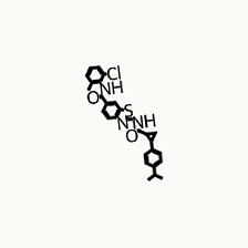 Cc1cccc(Cl)c1NC(=O)c1ccc2nc(NC(=O)C3CC3c3ccc(C(C)C)cc3)sc2c1